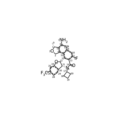 C[C@H]1OCc2c1c(N)nc1cc(F)c(C(=O)N(C3CCC3)[C@H]3COc4cc(C(F)(F)F)ccc43)cc21